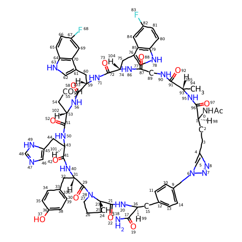 CC(=O)N[C@H]1CCc2cn(nn2)-c2ccc(cc2)C[C@@H](C(N)=O)NC(=O)[C@]2(C)CCCN2C(=O)[C@H](Cc2ccc(O)cc2)NC(=O)[C@@H](Cc2cnc[nH]2)NC(=O)[C@H](CC(=O)O)NC(=O)[C@H](Cc2c[nH]c3ccc(F)cc23)NC(=O)[C@H](Cc2c[nH]c3ccc(F)cc23)NC(=O)CNC(=O)[C@H](C)NC1=O